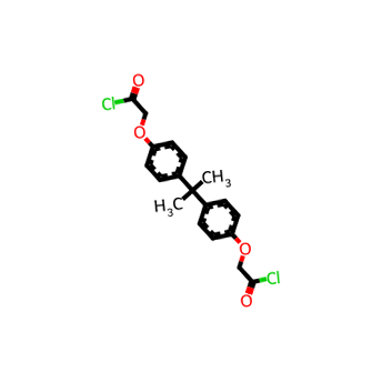 CC(C)(c1ccc(OCC(=O)Cl)cc1)c1ccc(OCC(=O)Cl)cc1